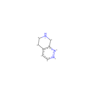 c1cc2c(nn1)CNCC2